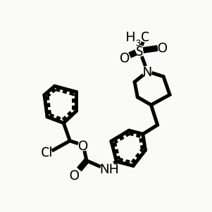 CS(=O)(=O)N1CCC(Cc2ccc(NC(=O)OC(Cl)c3ccccc3)cc2)CC1